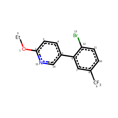 CCOc1ccc(-c2cc(C(F)(F)F)ccc2Br)cn1